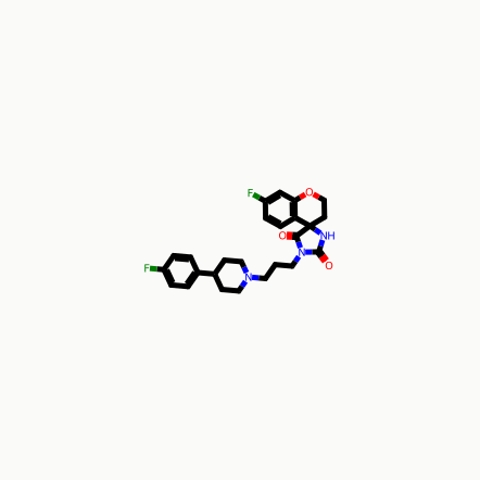 O=C1NC2(CCOc3cc(F)ccc32)C(=O)N1CCCN1CCC(c2ccc(F)cc2)CC1